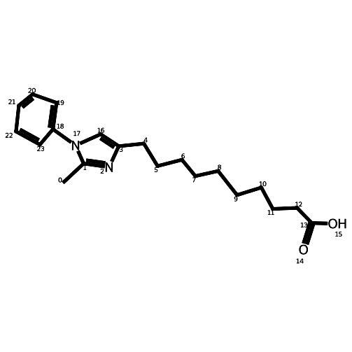 Cc1nc(CCCCCCCCCC(=O)O)cn1-c1ccccc1